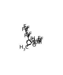 Cc1cccc(S(=O)(=O)O)c1.F[B-](F)(F)F.F[B-](F)(F)F.F[B-](F)(F)F.[LiH]